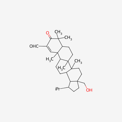 CC(C)C1CCC2(CO)CCC3(C)C(CCC4C5(C)C=C(C=O)C(=O)C(C)(C)C5CCC43C)C12